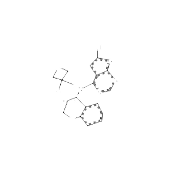 CC1(O[C@H]2COc3ccccc3[C@@H]2Nc2ncnc3[nH]c(C(F)(F)F)cc23)COC1